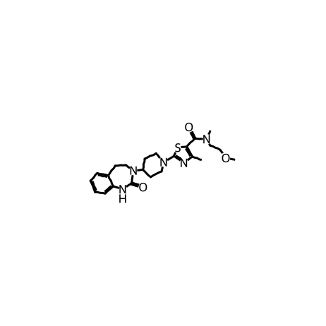 COCCN(C)C(=O)c1sc(N2CCC(N3CCc4ccccc4NC3=O)CC2)nc1C